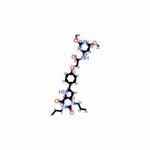 CCCn1c(=O)c2[nH]c(-c3ccc(OCC(=O)Nc4cc(OC)nc(OC)n4)cc3)cc2n(CCC)c1=O